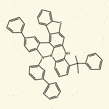 CC(C)(c1ccccc1)c1cccc2c1Nc1cc3sc4ccccc4c3c3c1B2N(c1cccc(-c2ccccc2)c1)c1ccc(-c2ccccc2)cc1-3